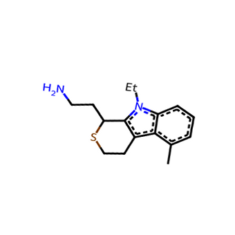 CCn1c2c(c3c(C)cccc31)CCSC2CCN